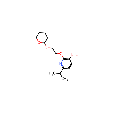 Bc1ccc(C(C)C)nc1OCCOC1CCCCO1